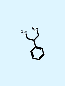 NCC(C[N+](=O)[O-])c1ccccc1